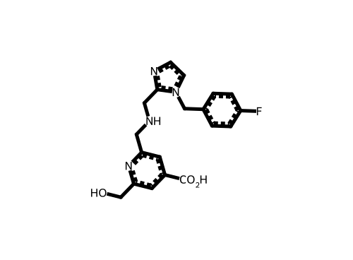 O=C(O)c1cc(CO)nc(CNCc2nccn2Cc2ccc(F)cc2)c1